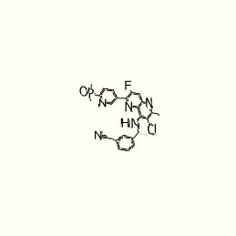 Cc1nc2cc(F)c(-c3ccc(P(C)(C)=O)nc3)nc2c(N[C@H](C)c2cccc(C#N)c2)c1Cl